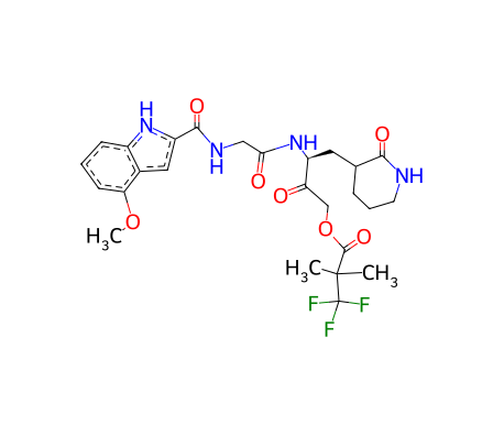 COc1cccc2[nH]c(C(=O)NCC(=O)N[C@@H](CC3CCCNC3=O)C(=O)COC(=O)C(C)(C)C(F)(F)F)cc12